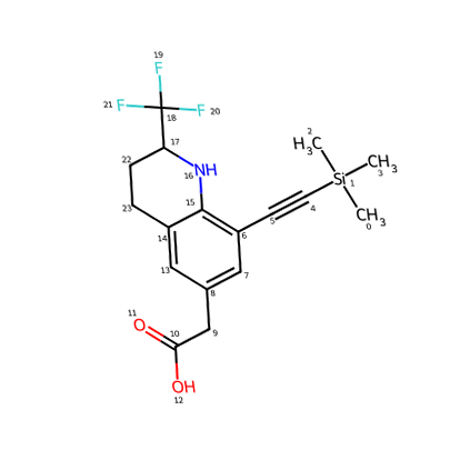 C[Si](C)(C)C#Cc1cc(CC(=O)O)cc2c1NC(C(F)(F)F)CC2